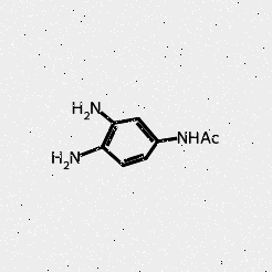 CC(=O)Nc1ccc(N)c(N)c1